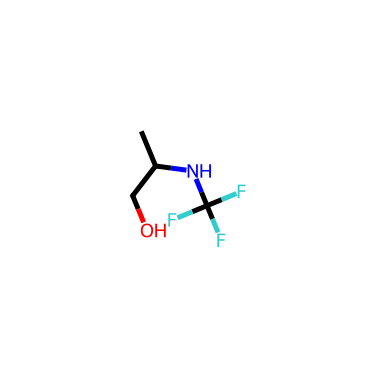 CC(CO)NC(F)(F)F